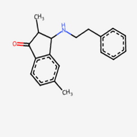 Cc1ccc2c(c1)C(NCCc1ccccc1)C(C)C2=O